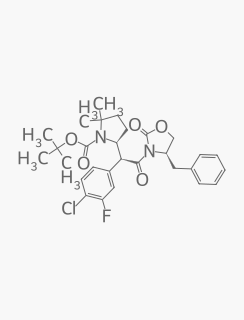 CC(C)(C)OC(=O)N1[C@H]([C@@H](C(=O)N2C(=O)OC[C@H]2Cc2ccccc2)c2ccc(Cl)c(F)c2)CCC1(C)C